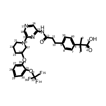 CC(C)(C(=O)O)c1ccc(CCC(=O)Nc2cncc(N3CCCC(Oc4ccccc4OC(F)(F)F)C3)n2)cc1